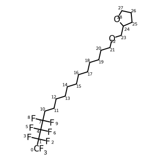 FC(F)(F)C(F)(F)C(F)(F)C(F)(F)CCCCCCCCCCCCOCC1CCCO1